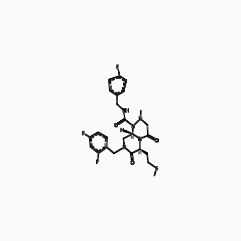 CSCC[C@H]1C(=O)N(Cc2ccc(F)cc2F)C[C@H]2N1C(=O)CN(C)N2C(=O)NCc1ccc(F)cc1